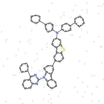 c1ccc(-c2ccc(N(c3ccc(-c4ccccc4)cc3)c3ccc4c(c3)sc3ccc(-c5ccc6c(c5)c5ccccc5n6-c5nc(-c6ccccc6)c6ccccc6n5)cc34)cc2)cc1